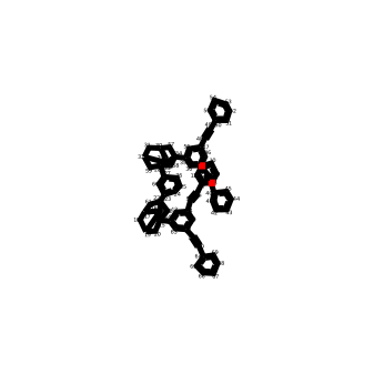 C(#Cc1cc(C#Cc2ccccc2)cc(C23CC4CC(C2)CC(c2cccc(C56CC7CC(CC(c8cc(C#Cc9ccccc9)cc(C#Cc9ccccc9)c8)(C7)C5)C6)c2)(C4)C3)c1)c1ccccc1